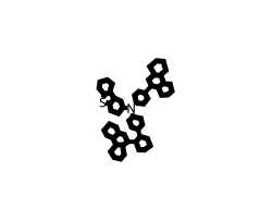 c1ccc(-c2cc3ccccc3c3ccccc23)c(-c2ccc(N(c3ccc(-c4cc5ccccc5c5ccccc45)cc3)c3ccc4sc5ccccc5c4c3)cc2)c1